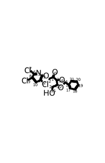 O=C(COc1nc(Cl)c(Cl)cc1Cl)C1OC(c2ccccc2)OC1CO